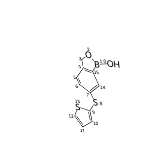 OB1OCc2ccc(Sc3cccs3)cc21